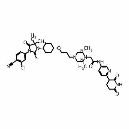 C[C@@H]1CN(CCCO[C@H]2CC[C@H](N3C(=S)N(c4ccc(C#N)c(Cl)c4)C(=O)C3(C)C)CC2)C[C@H](C)N1CC(=O)Nc1ccc(C2CCC(=O)NC2=O)nc1